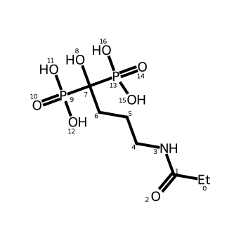 CCC(=O)NCCCC(O)(P(=O)(O)O)P(=O)(O)O